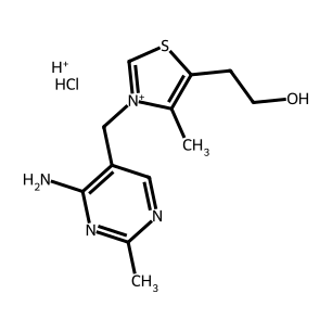 Cc1ncc(C[n+]2csc(CCO)c2C)c(N)n1.Cl.[H+]